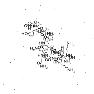 CC(C)[C@H](NC(=O)[C@@H]1CCC(=O)N1)C(=O)N[C@@H](Cc1ccc(O)cc1)C(=O)N[C@H](C(=O)N[C@H](C(=O)N[C@@H](C)C(=O)N[C@@H](CCC(=O)O)C(=O)N[C@@H](CC(N)=O)C(=O)N[C@@H](CCC(N)=O)C(=O)N[C@@H](CCC(N)=O)C(=O)NCC(=O)N[C@@H](CCCCN)C(=O)N[C@@H](CO)C(=O)N[C@@H](CCCCN)C(=O)N[C@@H](C)C(=O)O)C(C)C)C(C)C